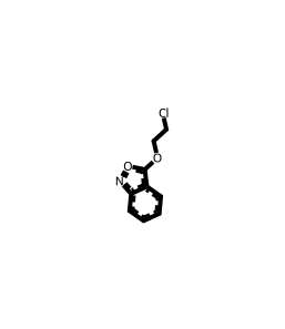 ClCCOc1onc2ccccc12